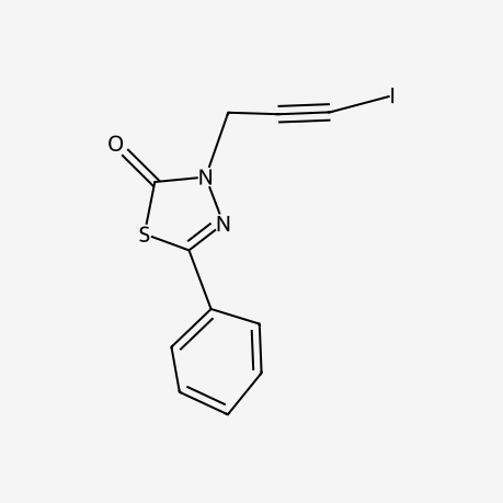 O=c1sc(-c2ccccc2)nn1CC#CI